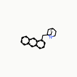 c1ccc2cc3c(CC4CC5CCN4CC5)cccc3cc2c1